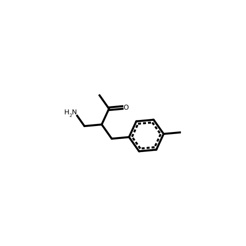 CC(=O)C(CN)Cc1ccc(C)cc1